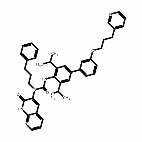 CC(C)c1cc(-c2cccc(OCCCc3cccnc3)c2)cc(C(C)C)c1NC(=O)N(CCCc1ccccc1)c1cc2cccnc2[nH]c1=O